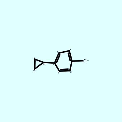 Clc1[c]cc(C2CC2)cc1